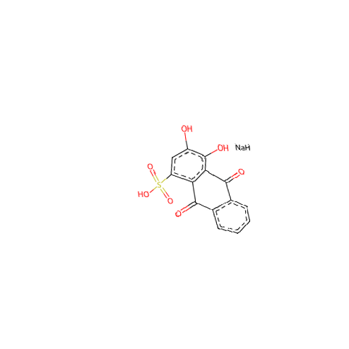 O=C1c2ccccc2C(=O)c2c(O)c(O)cc(S(=O)(=O)O)c21.[NaH]